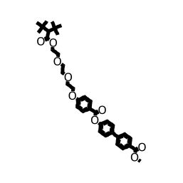 COC(=O)c1ccc(-c2ccc(OC(=O)c3ccc(OCCOCCOCCOC(=O)C(C(C)(C)C)C(C)(C)C)cc3)cc2)cc1